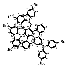 CC(C)(C)c1ccc(N(c2ccc(C(C)(C)C)cc2)c2cc3c4ccccc4c4c5c6c(c7c8ccccc8c(c2)c3c47)-n2c3ccc(C(C)(C)C)cc3c3cc(C(C)(C)C)cc(c32)[SH]6c2cc(C(C)(C)C)cc3c2C(C5)c2ccc(C(C)(C)C)cc2-3)cc1